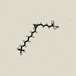 COC(=O)CCCCC1CC1CCCCCCCCC(C)(C)C